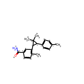 Cc1ccc(C2C(c3cc(C(N)=O)ccc3C)C2(C)C)cc1